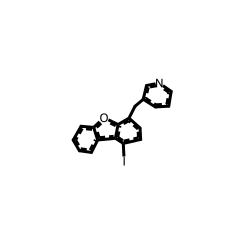 Ic1ccc(Cc2cccnc2)c2oc3ccccc3c12